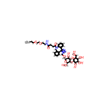 CC(C)(C)CCOCCOCCNC(=O)CCC(=O)N1Cc2ccccc2-c2c(nnn2COC[C@@H]2O[C@@H](CO)[C@@H](O[C@@H]3CC(CO)[C@H](O)C(O)C3O)C(O)C2O)-c2ccccc21